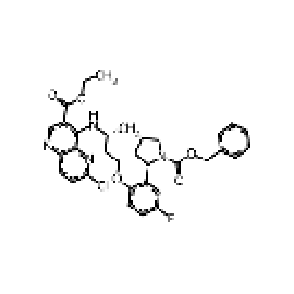 CCOC(=O)c1cnc2ccc(Cl)nc2c1N[C@H](C)CCOc1ccc(F)cc1[C@H]1CCCN1C(=O)OCc1ccccc1